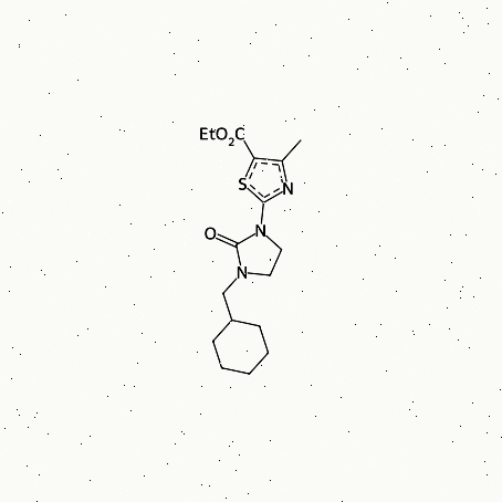 CCOC(=O)c1sc(N2CCN(CC3CCCCC3)C2=O)nc1C